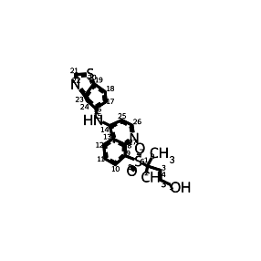 CC(C)(CCO)S(=O)(=O)c1cccc2c(Nc3ccc4scnc4c3)ccnc12